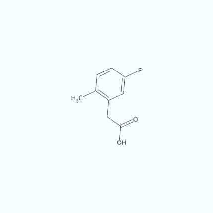 Cc1ccc(F)cc1CC(=O)O